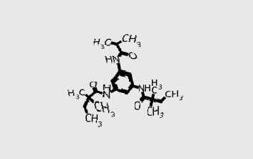 CCC(C)(C)C(=O)Nc1cc(NC(=O)C(C)C)cc(NC(=O)C(C)(C)CC)c1